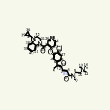 Cc1c(/C=C/C(=O)N(C)CC[N+](C)(C)C)oc2cc(Cl)c(Oc3ccncc3C(=O)N3CCN(C4CC4)c4ccccc43)cc12